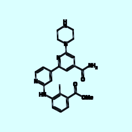 COC(=O)c1cccc(Nc2cc(-c3cc(C(N)=O)cc(N4CCNCC4)n3)ccn2)c1C